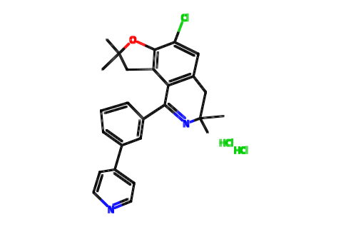 CC1(C)Cc2cc(Cl)c3c(c2C(c2cccc(-c4ccncc4)c2)=N1)CC(C)(C)O3.Cl.Cl